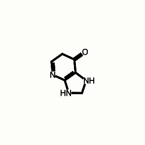 O=C1CC=NC2=C1NCN2